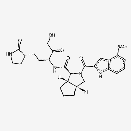 CSc1cccc2[nH]c(C(=O)N3C[C@@H]4CCC[C@@H]4[C@H]3C(=O)N[C@@H](CC[C@@H]3CCNC3=O)C(=O)CO)cc12